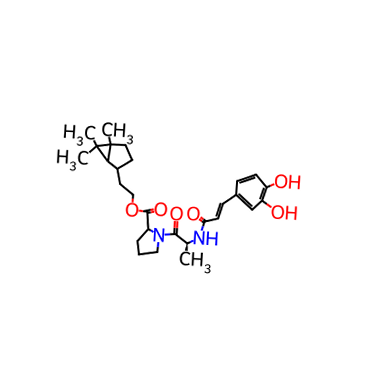 C[C@H](NC(=O)/C=C/c1ccc(O)c(O)c1)C(=O)N1CCCC1C(=O)OCCC1CCC2(C)C1C2(C)C